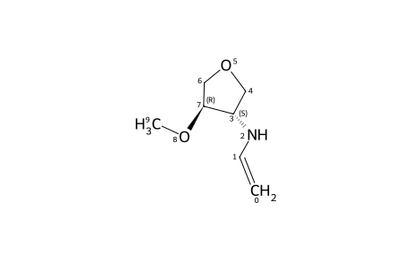 C=CN[C@H]1COC[C@@H]1OC